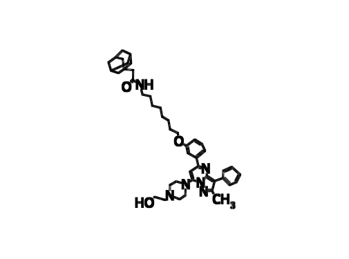 Cc1nn2c(N3CCN(CCO)CC3)cc(-c3cccc(OCCCCCCCCNC(=O)CC45CC6CC(CC(C6)C4)C5)c3)nc2c1-c1ccccc1